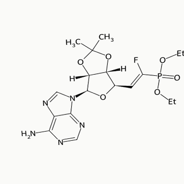 CCOP(=O)(OCC)/C(F)=C/[C@H]1O[C@@H](n2cnc3c(N)ncnc32)[C@@H]2OC(C)(C)O[C@@H]21